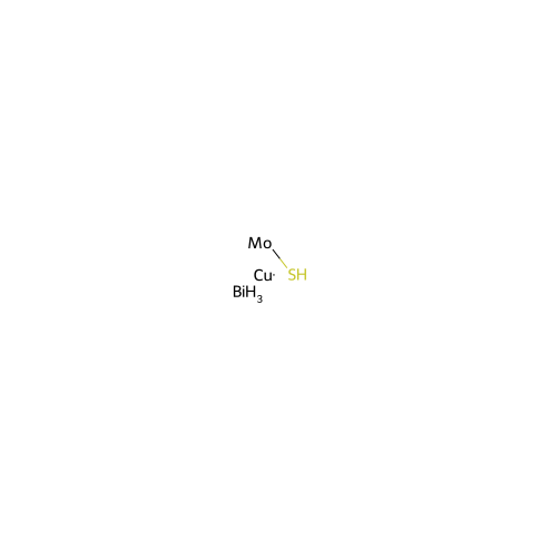 [BiH3].[Cu].[SH][Mo]